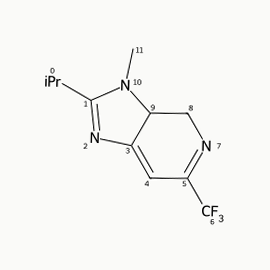 CC(C)C1=NC2=CC(C(F)(F)F)=NCC2N1C